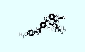 CN1CCN(c2nc(-c3ccc(C(=O)N4CCN(CC(C)(C)C)c5nc(C#N)nc6cccc4c56)cc3)cs2)CC1